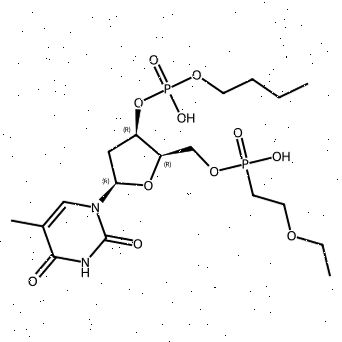 CCCCOP(=O)(O)O[C@@H]1C[C@H](n2cc(C)c(=O)[nH]c2=O)O[C@@H]1COP(=O)(O)CCOCC